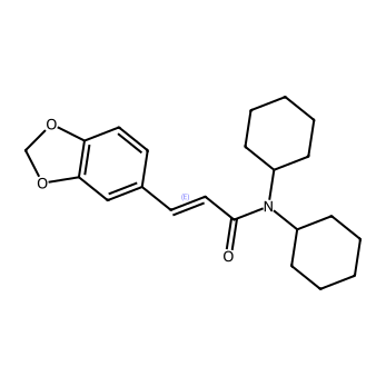 O=C(/C=C/c1ccc2c(c1)OCO2)N(C1CCCCC1)C1CCCCC1